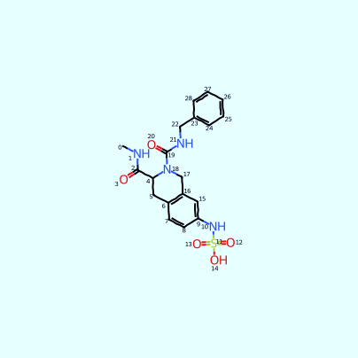 CNC(=O)C1Cc2ccc(NS(=O)(=O)O)cc2CN1C(=O)NCc1ccccc1